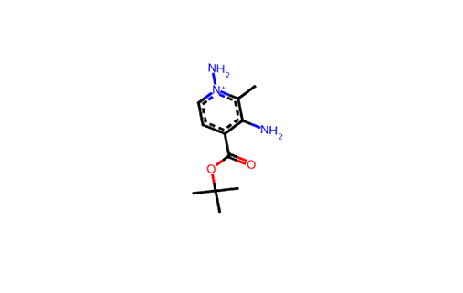 Cc1c(N)c(C(=O)OC(C)(C)C)cc[n+]1N